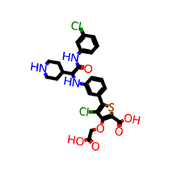 O=C(O)COc1c(C(=O)O)sc(-c2cccc(NC(C(=O)Nc3cccc(Cl)c3)C3CCNCC3)c2)c1Cl